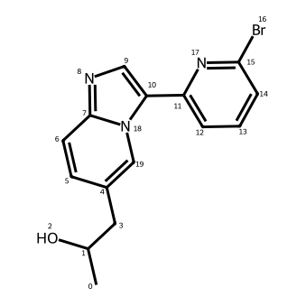 CC(O)Cc1ccc2ncc(-c3cccc(Br)n3)n2c1